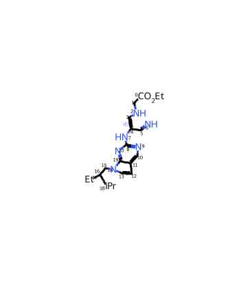 CCOC(=O)CN/C=C(\C=N)Nc1ncc2ccn(CC(CC)C(C)C)c2n1